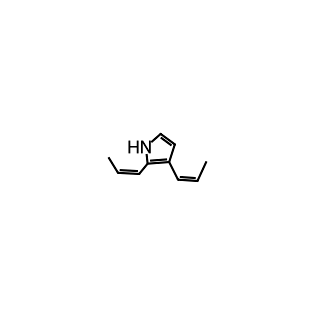 C/C=C\c1cc[nH]c1/C=C\C